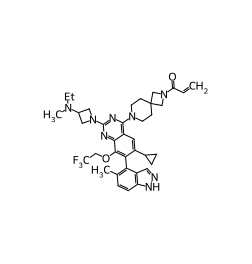 C=CC(=O)N1CC2(CCN(c3nc(N4CC(N(C)CC)C4)nc4c(OCC(F)(F)F)c(-c5c(C)ccc6[nH]ncc56)c(C5CC5)cc34)CC2)C1